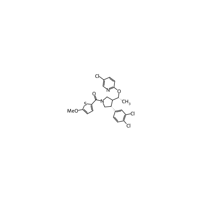 COc1ccc(C(=O)N2CC([C@@H](C)Oc3ccc(Cl)cn3)[C@H](c3ccc(Cl)c(Cl)c3)C2)s1